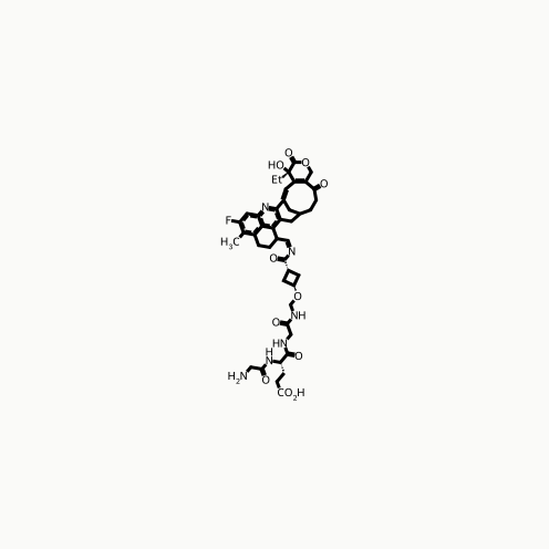 CC[C@@]1(O)C(=O)OCC2=C1/C=C1\CC(CCC2=O)Cc2c1nc1cc(F)c(C)c3c1c2C(/C=N\C(=O)[C@H]1C[C@@H](OCNC(=O)CNC(=O)[C@H](CCC(=O)O)NC(=O)CN)C1)CC3